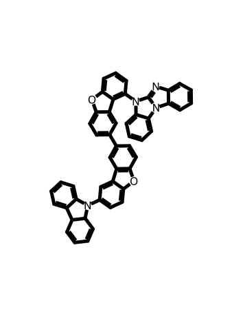 C1=CC2c3ccccc3N(c3ccc4oc5ccc(-c6ccc7oc8cccc(-n9c%10ccccc%10n%10c%11ccccc%11nc9%10)c8c7c6)cc5c4c3)C2C=C1